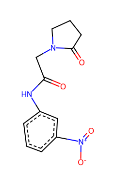 O=C(CN1CCCC1=O)Nc1cccc([N+](=O)[O-])c1